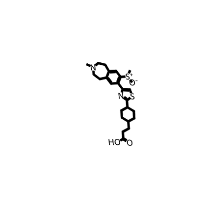 CN1CCc2cc(-c3csc(C4CCC(CCC(=O)O)CC4)n3)c([S+](C)[O-])cc2CC1